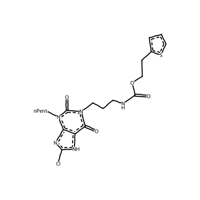 CCCCCn1c(=O)n(CCCNC(=O)OCCc2cccs2)c(=O)c2[nH]c(Cl)nc21